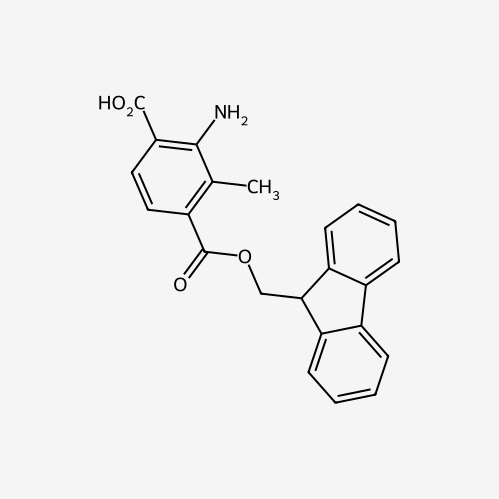 Cc1c(C(=O)OCC2c3ccccc3-c3ccccc32)ccc(C(=O)O)c1N